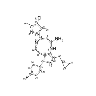 Cc1nn(-c2cc(N)[nH]c3c(ccn2)c(-c2ccc(F)cn2)nn3CC2CC2)c(C)c1Cl